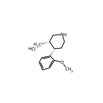 COc1ccccc1[C@H]1CCNC[C@H]1C.Cl